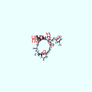 C=C1C[C@H](C)C[C@@H]2CC=CC(C/C=C\C(=O)O[C@H]([C@@H](O)/C=C/[C@@H]3CC(C)=CCO3)C[C@@H]3O[C@H]3[C@@H](O)C1)O2